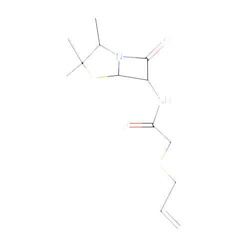 C=CCSCC(=O)NC1C(=O)N2C1SC(C)(C)C2C